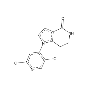 O=C1NCCc2c1ccn2-c1cc(Cl)ncc1Cl